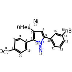 CCCCCCCCc1ccc(C2=C(CCCCCC)C=C(c3cccc(CCCC)c3)[N+]2=[N-])cc1.[Ni]